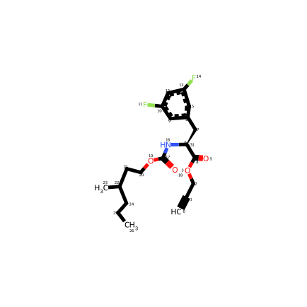 C#CCOC(=O)[C@H](Cc1cc(F)cc(F)c1)NC(=O)OCCC(C)CCC